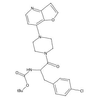 CC(C)(C)OC(=O)NC(Cc1ccc(Cl)cc1)C(=O)N1CCN(c2ccnc3ccoc23)CC1